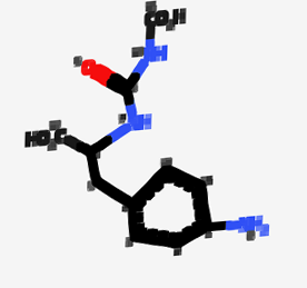 Nc1ccc(CC(NC(=O)NC(=O)O)C(=O)O)cc1